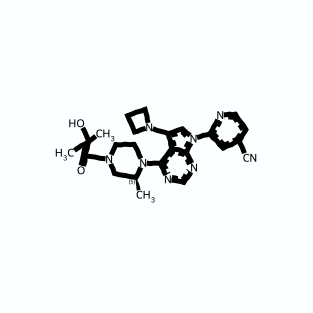 C[C@H]1CN(C(=O)C(C)(C)O)CCN1c1ncnc2c1c(N1CCC1)cn2-c1cc(C#N)ccn1